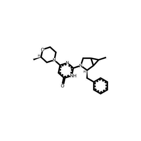 CC1C2CN(c3nc(N4CCO[C@H](C)C4)cc(=O)[nH]3)[C@H](Cc3ccccc3)C12